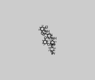 COc1cccc(Oc2nc(Nc3ccc(N4CCN(C(C)C)CC4)cc3)ncc2C(=O)Nc2c(Cl)cccc2Cl)c1